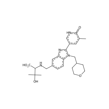 Cc1cc(-c2nc3cc(CNC(C(=O)O)C(C)(C)O)ccc3n2CC2CCOCC2)c[nH]c1=O